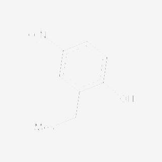 CSCc1cc([N+](=O)[O-])ccc1O